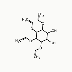 C=COC1C(O)C(O)C(OC=C)C(OC=C)C1OC=C